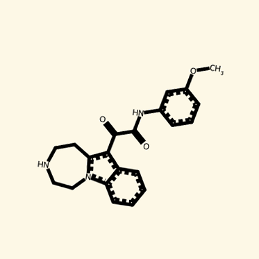 COc1cccc(NC(=O)C(=O)c2c3n(c4ccccc24)CCNCC3)c1